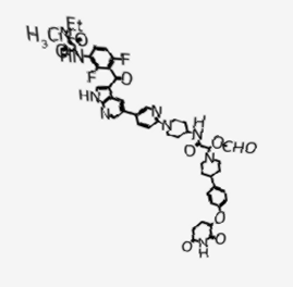 CCN(C)S(=O)(=O)Nc1ccc(F)c(C(=O)c2c[nH]c3ncc(-c4ccc(N5CCC(NC(=O)C(OC=O)N6CCC(c7ccc(OC8CCC(=O)NC8=O)cc7)CC6)CC5)nc4)cc23)c1F